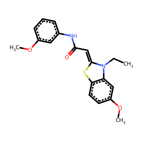 CCN1/C(=C/C(=O)Nc2cccc(OC)c2)Sc2ccc(OC)cc21